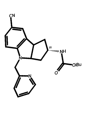 CC(C)COC(=O)N[C@H]1CC2c3cc(C#N)ccc3N(Cc3ccccn3)C2C1